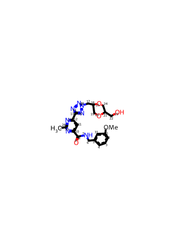 COc1cccc(CNC(=O)c2cc(-c3nnn(CC4COC(CO)CO4)n3)nc(C)n2)c1